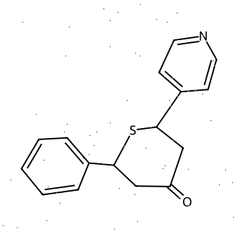 O=C1CC(c2ccccc2)SC(c2ccncc2)C1